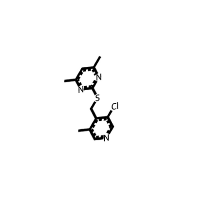 Cc1cc(C)nc(SCc2c(C)cncc2Cl)n1